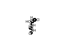 C[C@H](Nc1nccc(NC2CCOC2)n1)C1=Cc2cc(Cl)ccc2NC1O